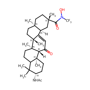 CC(=O)N[C@H]1CC[C@@]2(C)C(CC[C@]3(C)[C@@H]2C(=O)C=C2[C@@H]4C[C@@](C)(C(=O)N(O)C(F)(F)F)CC[C@]4(C)CC[C@]23C)C1(C)C